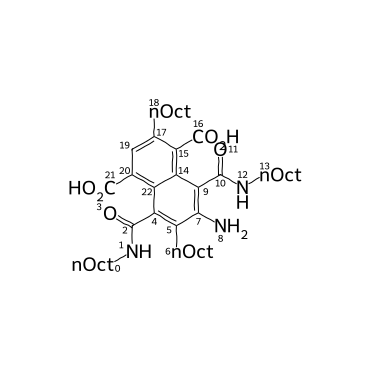 CCCCCCCCNC(=O)c1c(CCCCCCCC)c(N)c(C(=O)NCCCCCCCC)c2c(C(=O)O)c(CCCCCCCC)cc(C(=O)O)c12